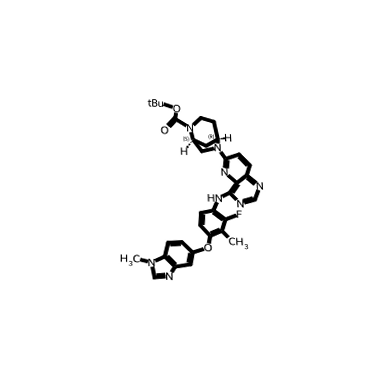 Cc1c(Oc2ccc3c(c2)ncn3C)ccc(Nc2ncnc3ccc(N4C[C@@H]5C[C@H]4CCN5C(=O)OC(C)(C)C)nc23)c1F